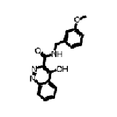 COc1cccc(CNC(=O)c2nnc3ccccc3c2O)c1